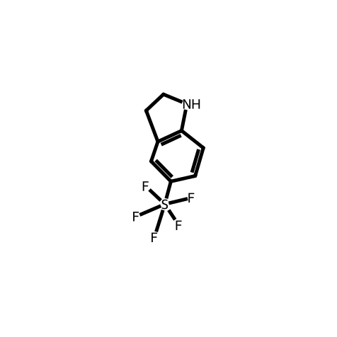 FS(F)(F)(F)(F)c1ccc2c(c1)CCN2